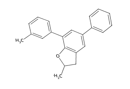 [CH2]C1Cc2cc(-c3ccccc3)cc(-c3cccc(C)c3)c2O1